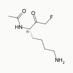 CC(=O)N[C@@H](CCCCN)C(=O)CF